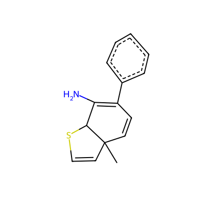 CC12C=CSC1C(N)=C(c1ccccc1)C=C2